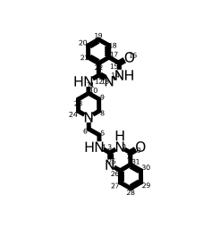 O=c1[nH]c(NCCN2CCC(Nc3n[nH]c(=O)c4ccccc34)CC2)nc2ccccc12